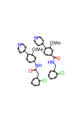 COc1cc(C(=O)NCc2ccccc2Cl)ccc1-c1ccncc1.COc1cc(NC(=O)Cc2ccccc2Cl)ccc1-c1ccncc1